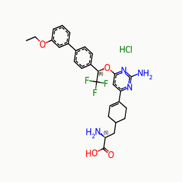 CCOc1cccc(-c2ccc([C@@H](Oc3cc(C4=CCC(C[C@H](N)C(=O)O)CC4)nc(N)n3)C(F)(F)F)cc2)c1.Cl